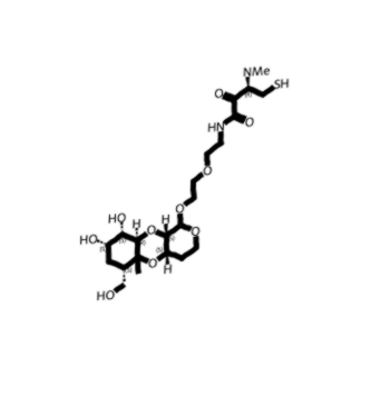 CN[C@@H](CS)C(=O)C(=O)NCCOCCOC1OCC[C@@H]2OC3(C)[C@H](CO)C[C@H](O)[C@H](O)[C@H]3O[C@H]12